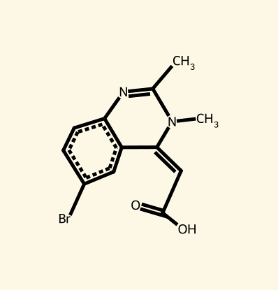 CC1=Nc2ccc(Br)cc2/C(=C\C(=O)O)N1C